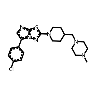 CN1CCN(CC2CCN(c3nn4c(-c5ccc(Cl)cc5)cnc4s3)CC2)CC1